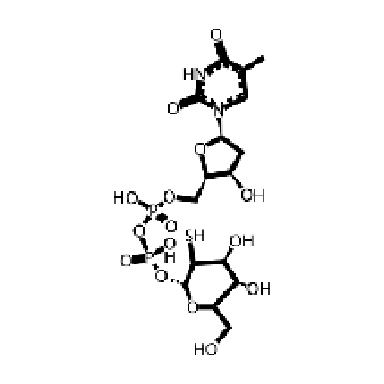 Cc1cn([C@H]2C[C@@H](O)[C@@H](COP(=O)(O)OP(=O)(O)O[C@H]3OC(CO)[C@@H](O)[C@H](O)C3S)O2)c(=O)[nH]c1=O